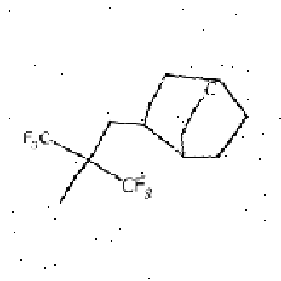 CC(CC1CC2CCC1CC2)(C(F)(F)F)C(F)(F)F